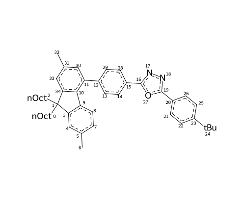 CCCCCCCCC1(CCCCCCCC)c2cc(C)ccc2-c2c(-c3ccc(-c4nnc(-c5ccc(C(C)(C)C)cc5)o4)cc3)cc(C)cc21